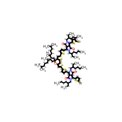 CCCCC(CC)CN1C(=O)C2=C(c3ccc(-c4cc5c(s4)-c4sc(-c6ccc(C7=C8C(=O)N(CC(CC)CCCC)C(c9ccc(Br)s9)=C8C(=O)N7CC(CC)CCCC)s6)cc4C(CCC(C)CCCC(C)C)(CCC(C)CCCC(C)C)O5)s3)N(CC(CC)CCCC)C(=O)C2=C1c1ccc(Br)s1